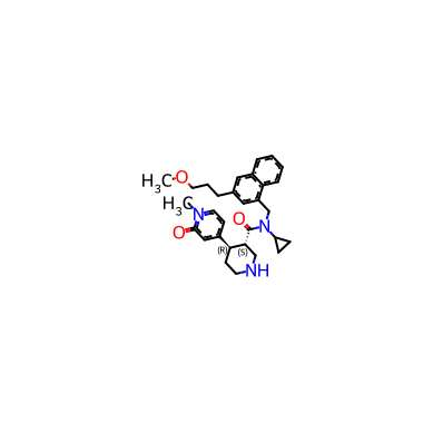 COCCCc1cc(CN(C(=O)[C@@H]2CNCC[C@H]2c2ccn(C)c(=O)c2)C2CC2)c2ccccc2c1